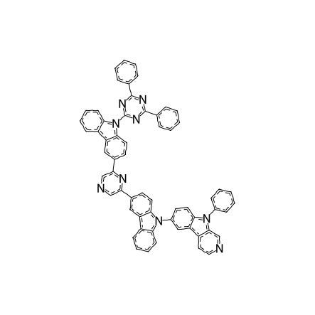 c1ccc(-c2nc(-c3ccccc3)nc(-n3c4ccccc4c4cc(-c5cncc(-c6ccc7c(c6)c6ccccc6n7-c6ccc7c(c6)c6ccncc6n7-c6ccccc6)n5)ccc43)n2)cc1